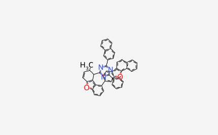 CC1C=Cc2oc3cccc(-c4ccc5c(c4)oc4c6ccccc6ccc54)c3c2C1c1nc(-c2ccccc2)nc(-c2ccc3ccccc3c2)n1